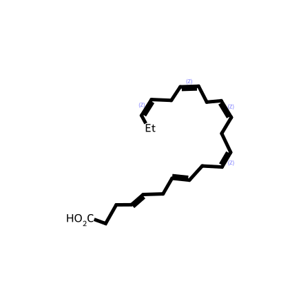 CC/C=C\C/C=C\C/C=C\C/C=C\CC=CCC=CCCC(=O)O